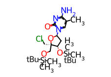 Cc1cn([C@H]2C[C@H](O[Si](C)(C)C(C)(C)C)[C@@](CCl)(CO[Si](C)(C)C(C)(C)C)O2)c(=O)nc1N